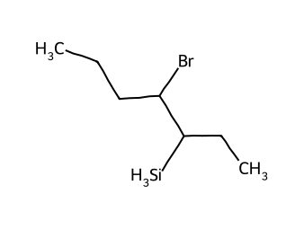 CCCC(Br)C([SiH3])CC